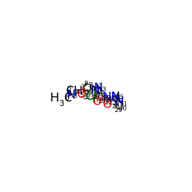 CN(C)CCOc1cccc(-n2ncc3c2COC[C@@H]3NC(=O)c2ncn3c2CCCC3)c1Cl